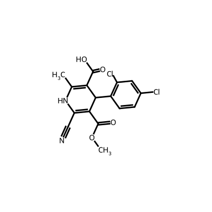 COC(=O)C1=C(C#N)NC(C)=C(C(=O)O)C1c1ccc(Cl)cc1Cl